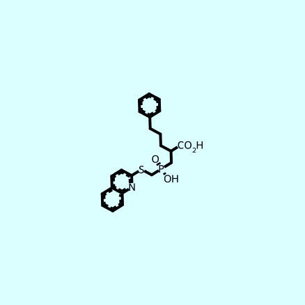 O=C(O)C(CCCc1ccccc1)CP(=O)(O)CSc1ccc2ccccc2n1